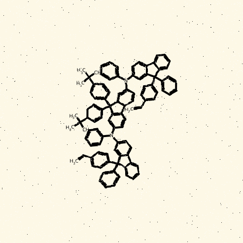 C=Cc1ccc(C2(c3ccccc3)c3ccccc3-c3ccc(N(C4=CC5C(C=C4)c4ccc(N(c6ccccc6)c6ccc7c(c6)C(c6ccccc6)(c6ccc(C=C)cc6)c6ccccc6-7)cc4C5(C4=CCC(C(C)(C)C)C=C4)c4ccc(C(C)(C)C)cc4)c4ccccc4)cc32)cc1